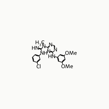 COc1cc(Nc2ncnc(N(C)C(=N)Nc3cccc(Cl)c3)n2)cc(OC)c1